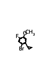 COc1cc(C2CC2)c(Br)cc1F